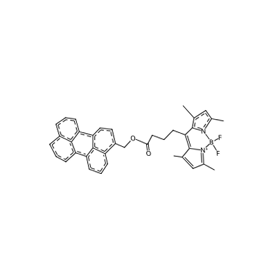 CC1=CC(C)=[N+]2C1=C(CCCC(=O)OCc1ccc3c4cccc5cccc(c6cccc1c63)c54)c1c(C)cc(C)n1[B-]2(F)F